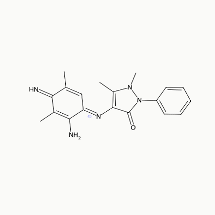 CC1=C/C(=N\c2c(C)n(C)n(-c3ccccc3)c2=O)C(N)=C(C)C1=N